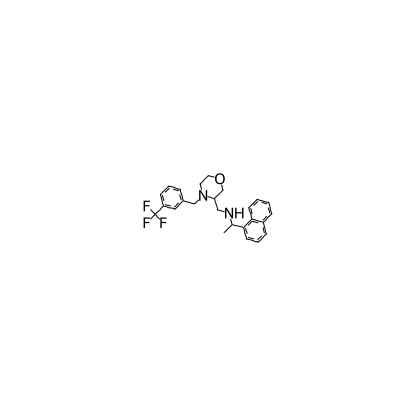 CC(NCC1COCCN1Cc1cccc(C(F)(F)F)c1)c1cccc2ccccc12